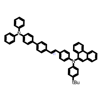 CC(C)(C)c1ccc(N(c2ccc(/C=C/c3ccc(-c4ccc(N(c5ccccc5)c5ccccc5)cc4)cc3)cc2)c2cc3ccccc3c3ccccc23)cc1